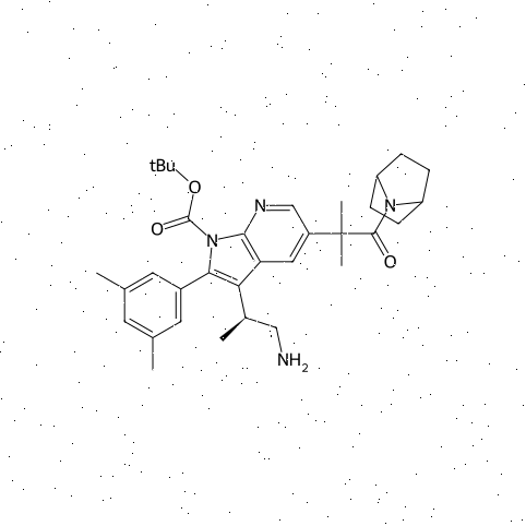 Cc1cc(C)cc(-c2c([C@H](C)CN)c3cc(C(C)(C)C(=O)N4C5CCC4CC5)cnc3n2C(=O)OC(C)(C)C)c1